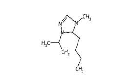 CCCCC1N(C)C=NN1C(C)C